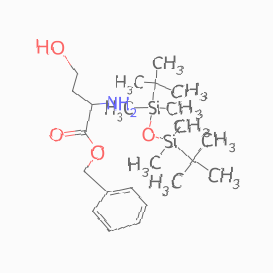 CC(C)(C)[Si](C)(C)O[Si](C)(C)C(C)(C)C.NC(CCO)C(=O)OCc1ccccc1